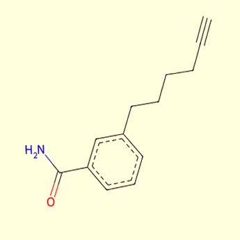 C#CCCCCc1cccc(C(N)=O)c1